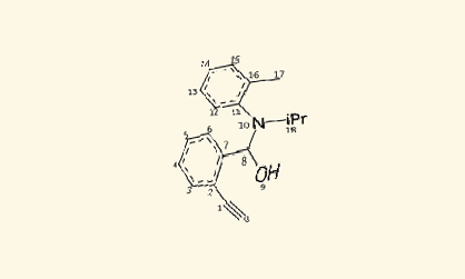 C#Cc1ccccc1C(O)N(c1ccccc1C)C(C)C